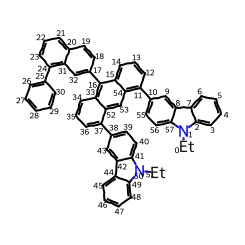 CCn1c2ccccc2c2cc(-c3cccc4c(-c5ccc6cccc(-c7ccccc7)c6c5)c5cccc(-c6ccc7c(c6)c6ccccc6n7CC)c5cc34)ccc21